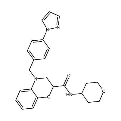 O=C(NC1CCOCC1)C1CN(Cc2ccc(-n3cccn3)cc2)c2ccccc2O1